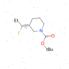 CC/C(F)=C1\CCCN(C(=O)OC(C)(C)C)C1